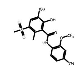 Cc1c(S(C)(=O)=O)cc(C(C)(C)C)c(O)c1C(=O)Nc1ccc(C#N)cc1OC(F)(F)F